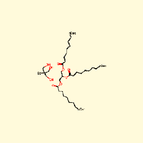 CCC(CO)(CO)CO.CCCCCCCCCCCCCCCCCC(=O)OCC(COC(=O)CCCCCCCCCCCCCCCCC)OC(=O)CCCCCCCCCCCCCCCCC